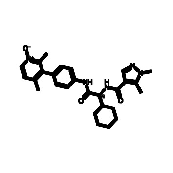 Cc1cc[n+]([O-])c(C)c1-c1ccc(NC(=O)[C@@H](NC(=O)c2cnn(C)c2C)C2CCCCC2)cc1